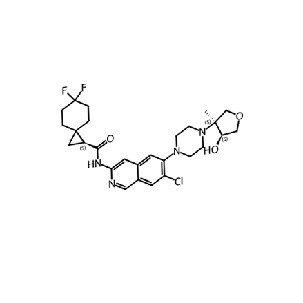 C[C@]1(N2CCN(c3cc4cc(NC(=O)[C@H]5CC56CCC(F)(F)CC6)ncc4cc3Cl)CC2)COC[C@H]1O